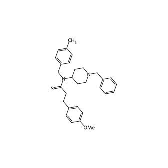 COc1ccc(CCC(=S)N(Cc2ccc(C)cc2)C2CCN(Cc3ccccc3)CC2)cc1